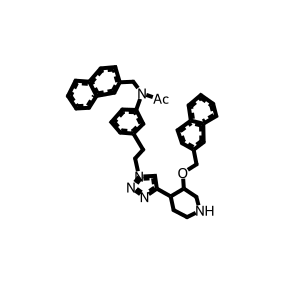 CC(=O)N(Cc1ccc2ccccc2c1)c1cccc(CCn2cc(C3CCNCC3OCc3ccc4ccccc4c3)nn2)c1